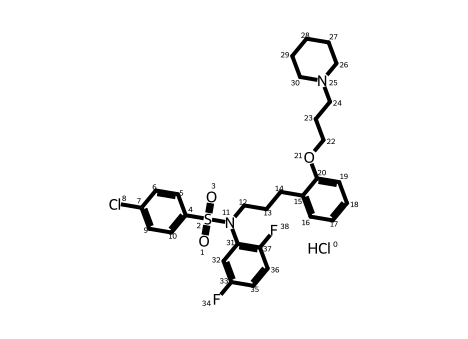 Cl.O=S(=O)(c1ccc(Cl)cc1)N(CCCc1ccccc1OCCCN1CCCCC1)c1cc(F)ccc1F